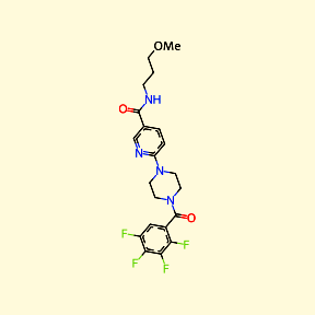 COCCCNC(=O)c1ccc(N2CCN(C(=O)c3cc(F)c(F)c(F)c3F)CC2)nc1